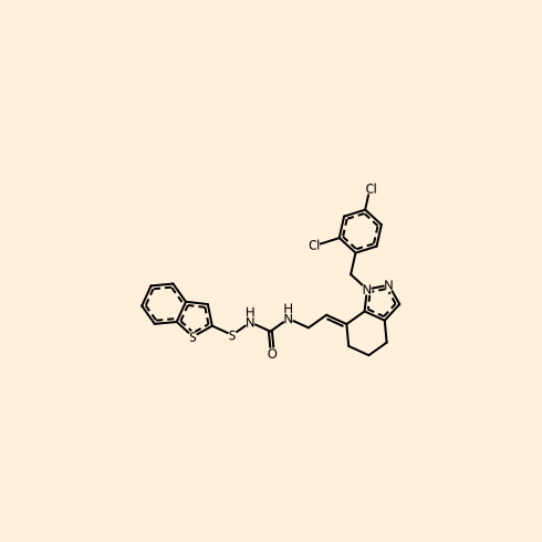 O=C(NC/C=C1\CCCc2cnn(Cc3ccc(Cl)cc3Cl)c21)NSc1cc2ccccc2s1